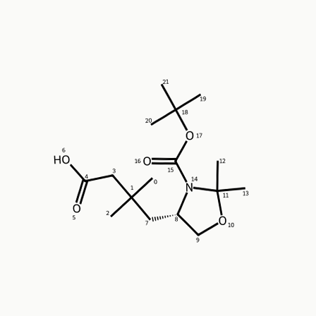 CC(C)(CC(=O)O)C[C@H]1COC(C)(C)N1C(=O)OC(C)(C)C